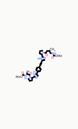 COC(=O)NCC(C)CC(=O)N1CCCC1c1ncc(C#Cc2ccc(-c3cnc(C4CCCN4C(=O)C(NC(=O)OC)C(C)C)[nH]3)cc2)[nH]1